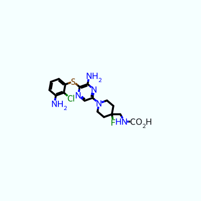 Nc1cccc(Sc2ncc(N3CCC(F)(CNC(=O)O)CC3)nc2N)c1Cl